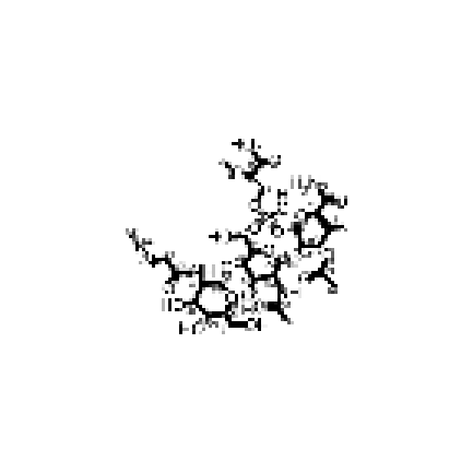 CO[C@H](COP(=O)(O)O[C@@H]1OC(C(N)=O)=C(C)[C@H](OC(C)=O)C1O[C@@H]1OC(CO)[C@@H](O[C@@H]2OC(CO)[C@H](O)C(O)C2NC(=O)CN=[N+]=[N-])C(O)C1NC(C)=O)C(=O)O